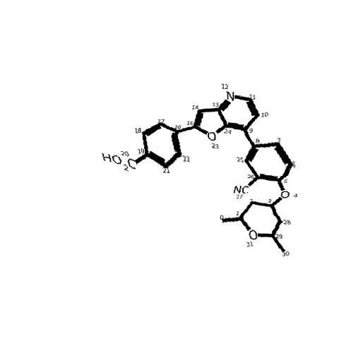 CC1CC(Oc2ccc(-c3ccnc4cc(-c5ccc(C(=O)O)cc5)oc34)cc2C#N)CC(C)O1